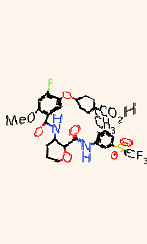 COc1cc(F)c(OC2CCC(C)(C(=O)O)CC2)cc1C(=O)NC1CCCOC1C(=O)Nc1cccc(S(=O)(=O)C(F)(F)F)c1